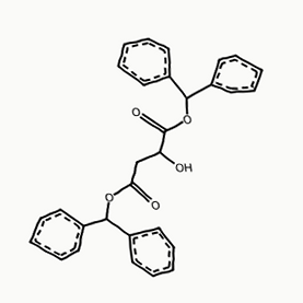 O=C(CC(O)C(=O)OC(c1ccccc1)c1ccccc1)OC(c1ccccc1)c1ccccc1